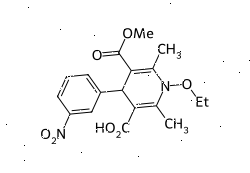 CCON1C(C)=C(C(=O)O)C(c2cccc([N+](=O)[O-])c2)C(C(=O)OC)=C1C